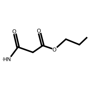 CCCOC(=O)CC([NH])=O